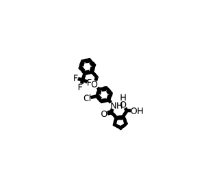 O=C(Nc1ccc(OCc2ccccc2C(F)(F)F)c(Cl)c1)C1=C(C(O)O)CCC1